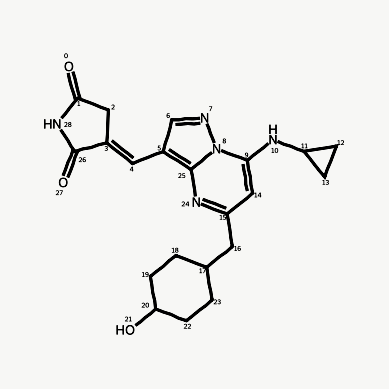 O=C1C/C(=C\c2cnn3c(NC4CC4)cc(CC4CCC(O)CC4)nc23)C(=O)N1